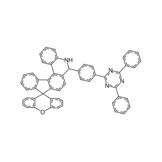 c1ccc(-c2nc(-c3ccccc3)nc(-c3ccc(C4Nc5ccccc5-c5c4ccc4c5-c5ccccc5C45c4ccccc4Oc4ccccc45)cc3)n2)cc1